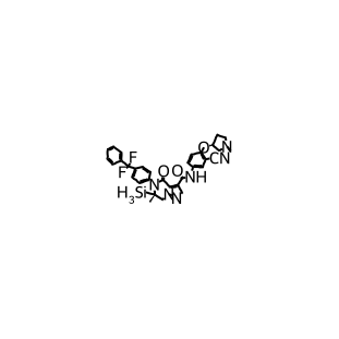 CN1CC[C@H](Oc2ccc(NC(=O)c3cnn4c3C(=O)N(c3ccc(C(F)(F)c5ccccc5)cc3)[C@@](C)([SiH3])C4)cc2C#N)C1